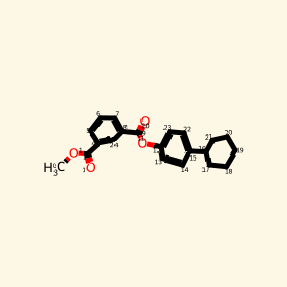 COC(=O)c1cccc(C(=O)Oc2ccc(C3CCCCC3)cc2)c1